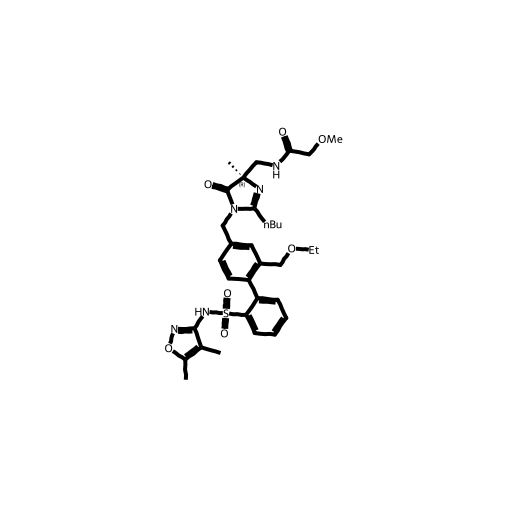 CCCCC1=N[C@](C)(CNC(=O)COC)C(=O)N1Cc1ccc(-c2ccccc2S(=O)(=O)Nc2noc(C)c2C)c(COCC)c1